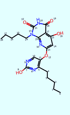 CCCCCc1nc(O)ncc1Oc1cc(O)c2c(=O)[nH]c(=O)n(CCCCC)c2n1